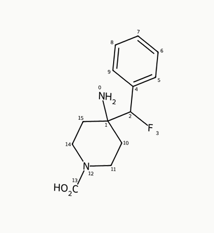 NC1(C(F)c2ccccc2)CCN(C(=O)O)CC1